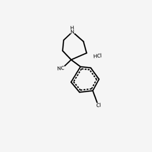 Cl.N#CC1(c2ccc(Cl)cc2)CCNCC1